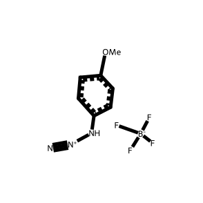 COc1ccc(N[N+]#N)cc1.F[B-](F)(F)F